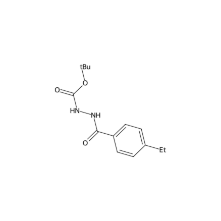 CCc1ccc(C(=O)NNC(=O)OC(C)(C)C)cc1